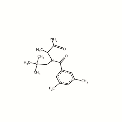 Cc1cc(C(=O)N(C[Si](C)(C)C)C(C)C(N)=O)cc(C(F)(F)F)c1